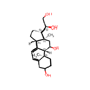 C[C@]12CC(O)[C@H]3C(=CC=C4CC(O)CC[C@@]43C)[C@@H]1CC[C@@H]2[C@H](O)CO